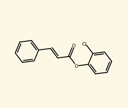 O=C(C=Cc1ccccc1)Oc1ccccc1Cl